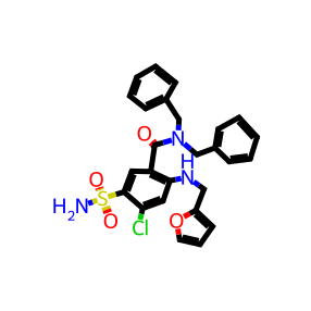 NS(=O)(=O)c1cc(C(=O)N(Cc2ccccc2)Cc2ccccc2)c(NCc2ccco2)cc1Cl